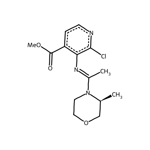 COC(=O)c1ccnc(Cl)c1/N=C(\C)N1CCOC[C@@H]1C